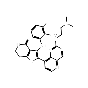 COc1c(Cl)cccc1Nc1c(-c2ccnc3cnc(OCCN(C)C)nc23)[nH]c2c1C(=O)NCC2